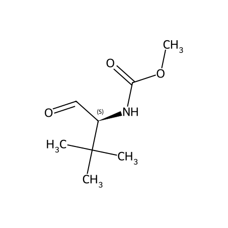 COC(=O)N[C@H](C=O)C(C)(C)C